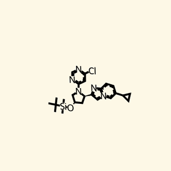 CC(C)(C)[Si](C)(C)O[C@H]1C[C@H](c2cn3cc(C4CC4)ccc3n2)N(c2cc(Cl)ncn2)C1